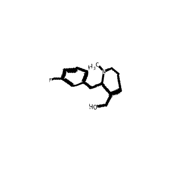 CN1CCCC(CO)C1Cc1cccc(F)c1